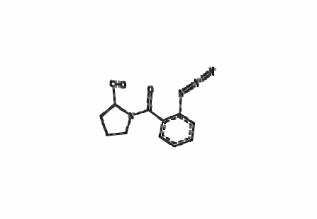 [N-]=[N+]=Nc1ccccc1C(=O)N1CCCC1C=O